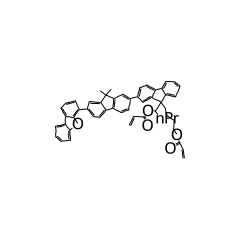 C=CC(=O)OCCCCC1(C(CCC)OC(=O)C=C)c2ccccc2-c2ccc(-c3ccc4c(c3)C(C)(C)c3cc(-c5cccc6c5oc5ccccc56)ccc3-4)cc21